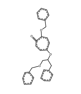 O=c1ccc(OC(COCc2ccccc2)Cc2ccccc2)ccc1OCc1ccccc1